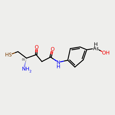 N[C@H](CS)C(=O)CC(=O)Nc1ccc([AsH]O)cc1